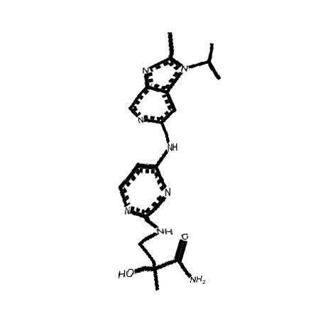 Cc1nc2cnc(Nc3ccnc(NCC(C)(O)C(N)=O)n3)cc2n1C(C)C